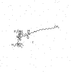 CCCCCCCCCCCCCCCCCCNC(=O)OCC(CNS(=O)(=O)CCC[N+](C)(C)C)OC(=O)NC.[I-]